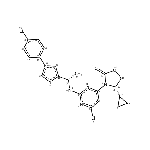 C[C@H](Nc1nc(Cl)cc(N2C(=O)OC[C@@H]2C2CC2)n1)c1cn(-c2ccc(Cl)cc2)cn1